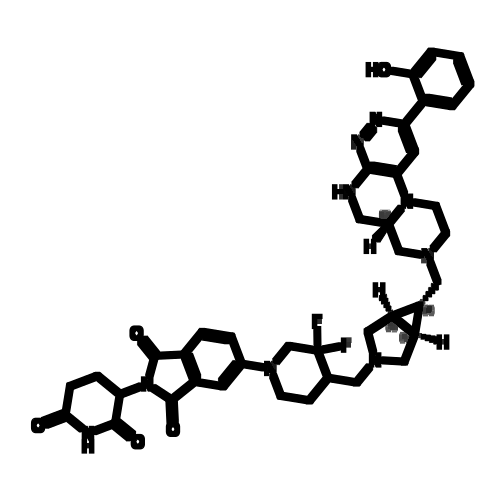 O=C1CCC(N2C(=O)c3ccc(N4CCC(CN5C[C@@H]6[C@H](C5)[C@H]6CN5CCN6c7cc(-c8ccccc8O)nnc7NC[C@H]6C5)C(F)(F)C4)cc3C2=O)C(=O)N1